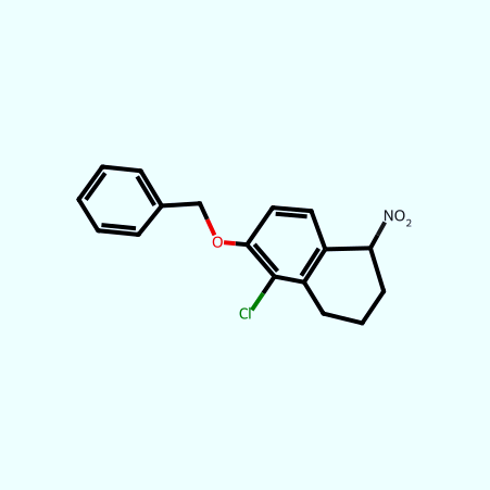 O=[N+]([O-])C1CCCc2c1ccc(OCc1ccccc1)c2Cl